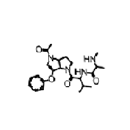 CNC(C)C(=O)NC(C(=O)N1CCC2C1C(Oc1ccccc1)=CN2C(C)=O)C(C)C